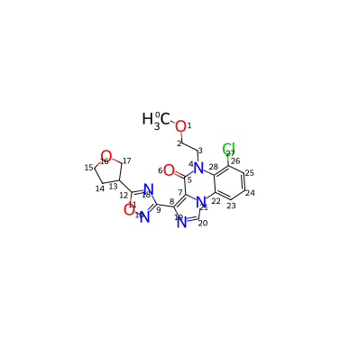 COCCn1c(=O)c2c(-c3noc(C4CCOC4)n3)ncn2c2cccc(Cl)c21